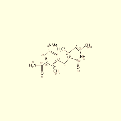 CNc1cc(Cc2c(C)cc(C)[nH]c2=O)c(C)c(C(N)=O)c1